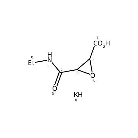 CCNC(=O)C1OC1C(=O)O.[KH]